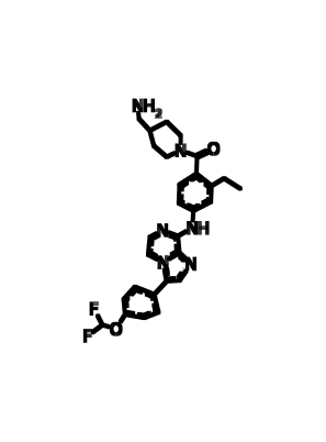 CCc1cc(Nc2nccn3c(-c4ccc(OC(F)F)cc4)cnc23)ccc1C(=O)N1CCC(CN)CC1